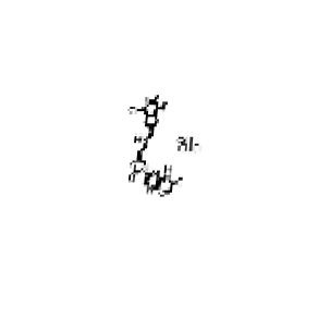 Cc1nc(Cl)c2c(c1F)CC(CNCCC1CN(c3cnc4c(n3)NC(=O)CO4)C(=O)O1)C2.O=CO